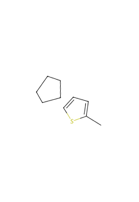 C1CCCC1.Cc1cccs1